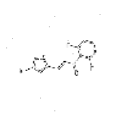 O=C(C=Cc1cc(Br)cs1)c1c(F)cccc1F